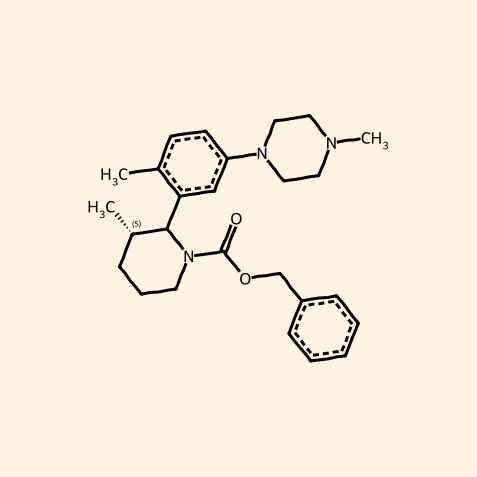 Cc1ccc(N2CCN(C)CC2)cc1C1[C@@H](C)CCCN1C(=O)OCc1ccccc1